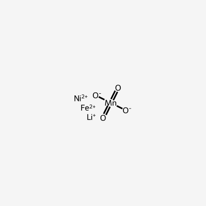 [Fe+2].[Li+].[Ni+2].[O]=[Mn](=[O])([O-])[O-]